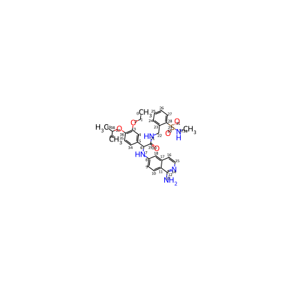 CCOc1cc(C(Nc2ccc3c(N)nccc3c2)C(=O)NCc2ccccc2S(=O)(=O)NC)ccc1OC(C)C